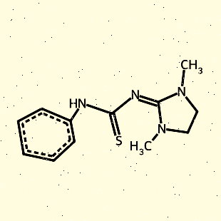 CN1CCN(C)C1=NC(=S)Nc1ccccc1